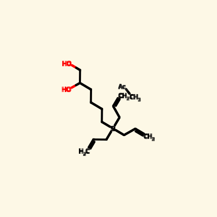 C=CC[Si](CC=C)(CC=C)CCCCC(O)CO.CC(C)=O